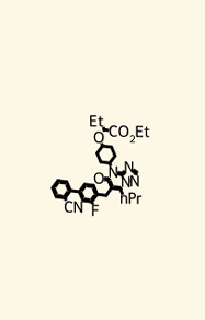 CCCc1c(Cc2ccc(-c3ccccc3C#N)cc2F)c(=O)n(C2CCC(OC(CC)C(=O)OCC)CC2)c2ncnn12